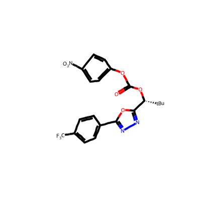 CC(C)(C)[C@@H](OC(=O)Oc1ccc([N+](=O)[O-])cc1)c1nnc(-c2ccc(C(F)(F)F)cc2)o1